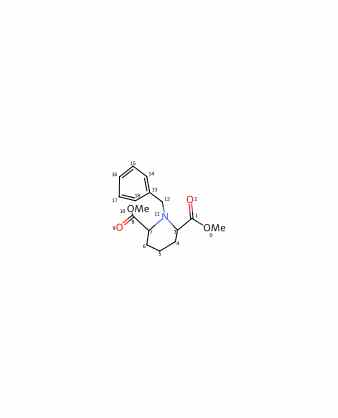 COC(=O)C1CCCC(C(=O)OC)N1Cc1ccccc1